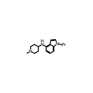 CC(C)n1ccc2c(NC3CCN(C)CC3)cccc21